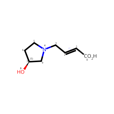 O=C(O)/C=C/CN1CC[C@H](O)C1